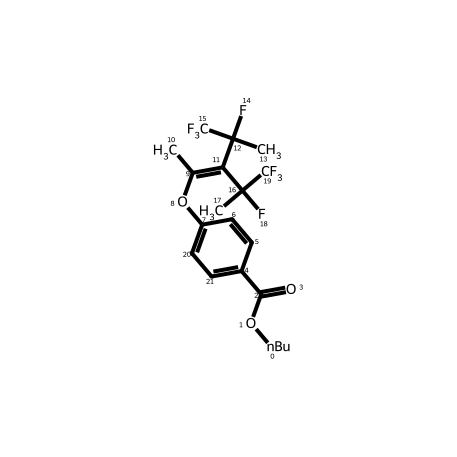 CCCCOC(=O)c1ccc(OC(C)=C(C(C)(F)C(F)(F)F)C(C)(F)C(F)(F)F)cc1